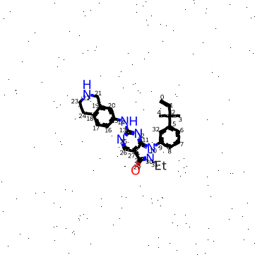 C=CC(C)(C)c1cccc(-n2c3nc(Nc4ccc5c(c4)CNCC5)ncc3c(=O)n2CC)c1